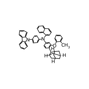 Cc1ccccc1Oc1cc(N(c2ccc(-n3c4ccccc4c4ccccc43)cc2)c2cccc3ccccc23)ccc1C1[C@H]2C[C@@H]3C[C@@H](C[C@@H]1C3)C2